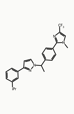 CC(C)c1cccc(-c2ccn(C(C)c3ccc(-c4nc(C(F)(F)F)cn4C)cc3)n2)c1